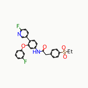 CCS(=O)(=O)c1ccc(CC(=O)Nc2ccc(-c3ccc(F)nc3)c(Oc3cccc(F)c3)c2)cc1